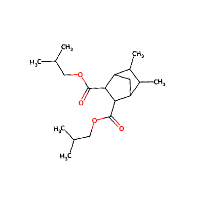 CC(C)COC(=O)C1C2CC(C(C)C2C)C1C(=O)OCC(C)C